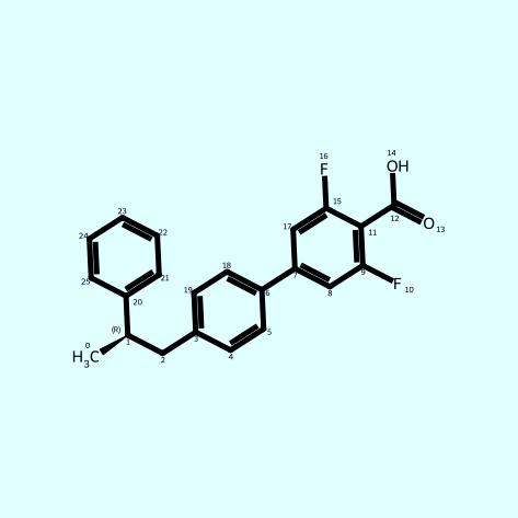 C[C@H](Cc1ccc(-c2cc(F)c(C(=O)O)c(F)c2)cc1)c1ccccc1